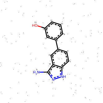 Nc1n[nH]c2ccc(-c3cccc(O)c3)cc12